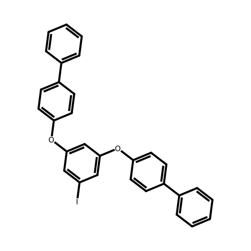 Ic1cc(Oc2ccc(-c3ccccc3)cc2)cc(Oc2ccc(-c3ccccc3)cc2)c1